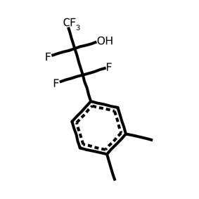 Cc1ccc(C(F)(F)C(O)(F)C(F)(F)F)cc1C